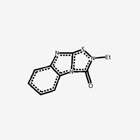 CCn1sc2nc3ccccc3n2c1=O